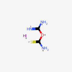 I.N=C(N)OC(N)=S